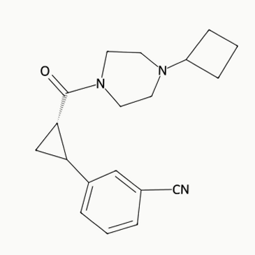 N#Cc1cccc(C2C[C@@H]2C(=O)N2CCN(C3CCC3)CC2)c1